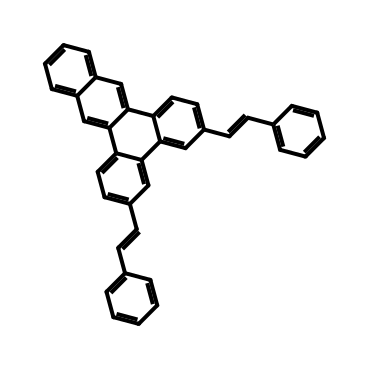 C(=C\c1ccc2c(c1)c1cc(/C=C/c3ccccc3)ccc1c1cc3ccccc3cc21)/c1ccccc1